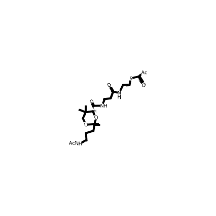 CC(=O)NCCCC1(C)OCC(C)(C)[C@H](C(=O)NCCC(=O)NCCSC(=O)C(C)=O)O1